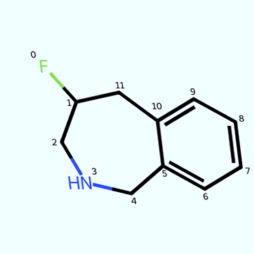 FC1CNCc2ccccc2C1